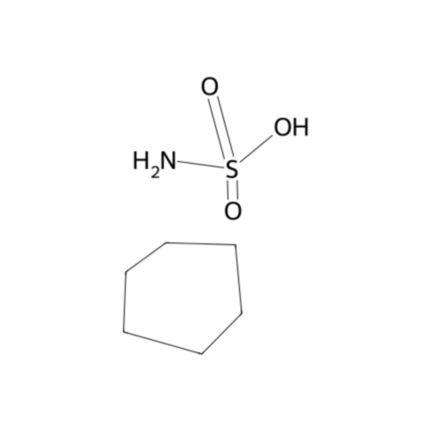 C1CCCCC1.NS(=O)(=O)O